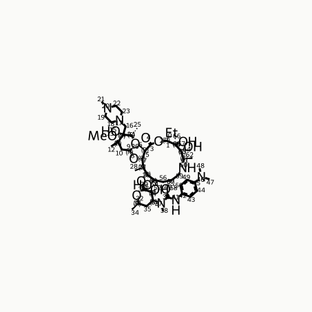 CC[C@H]1OC(=O)[C@H](C)[C@@H](O[C@H]2C[C@@](C)(OC)[C@](O)(CN3CCN(C)CC3)[C@H](C)O2)[C@H](C)[C@@H](O[C@@H]2O[C@H](C)C[C@H](N(C)C(=O)Nc3ccc(N(C)C)cc3)[C@H]2O)[C@](C)(O)C[C@@H](C)CN[C@H](C)[C@@H](O)[C@]1(C)O